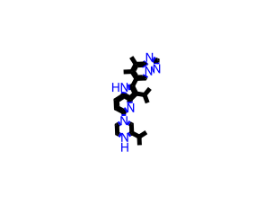 Cc1c(-c2[nH]c3ccc(N4CCNC(C(C)C)C4)nc3c2C(C)C)cn2ncnc2c1C